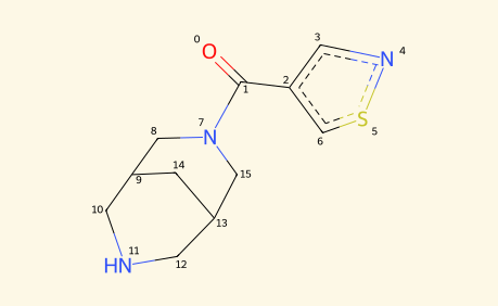 O=C(c1cnsc1)N1CC2CNCC(C2)C1